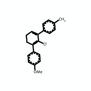 COc1ccc(C2=C(Cl)C(c3ccc(C)cc3)=CC[CH]2)cc1